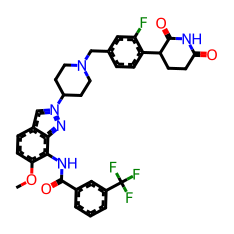 COc1ccc2cn(C3CCN(Cc4ccc(C5CCC(=O)NC5=O)c(F)c4)CC3)nc2c1NC(=O)c1cccc(C(F)(F)F)c1